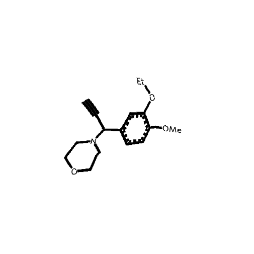 C#CC(c1ccc(OC)c(OCC)c1)N1CCOCC1